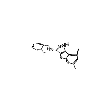 Cc1cc(C)c2c(n1)sc1c(NCc3ccccc3F)n[nH]c12